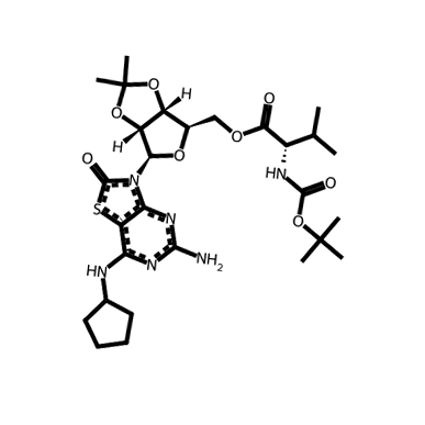 CC(C)[C@H](NC(=O)OC(C)(C)C)C(=O)OC[C@H]1O[C@@H](n2c(=O)sc3c(NC4CCCC4)nc(N)nc32)[C@@H]2OC(C)(C)O[C@@H]21